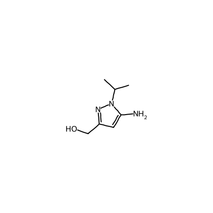 CC(C)n1nc(CO)cc1N